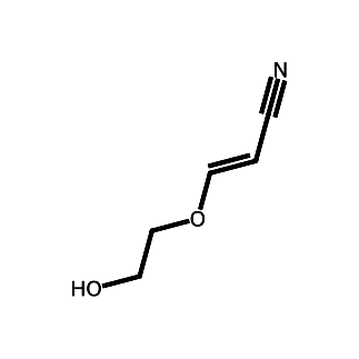 N#CC=COCCO